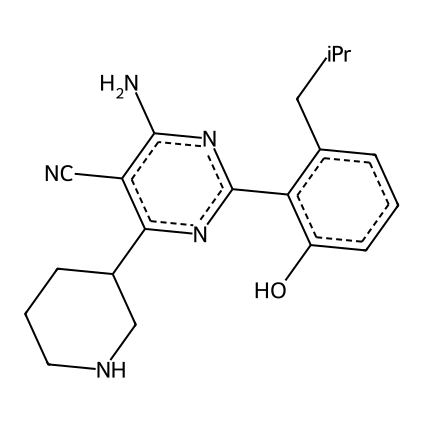 CC(C)Cc1cccc(O)c1-c1nc(N)c(C#N)c(C2CCCNC2)n1